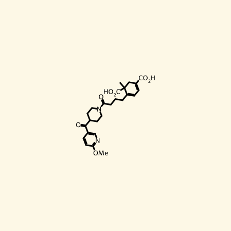 COc1ccc(C(=O)C2CCN(C(=O)CCCC3=CC=C(C(=O)O)CC3(C)C(=O)O)CC2)cn1